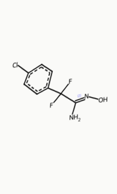 N/C(=N\O)C(F)(F)c1ccc(Cl)cc1